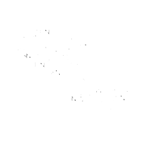 CN(C)C(C)(C)COc1cncc(-c2cc(C3CC3)cc(Nc3cc(C#N)ccn3)n2)c1